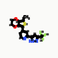 Cc1sc(-c2ccnc(-c3cc(C(F)(F)F)n[nH]3)c2)c2c1OCCO2